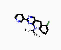 CC(C)Nc1nc(-c2cccnc2)ncc1Cc1ccccc1F